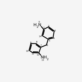 Nc1cccc(Cc2ccccc2N)c1